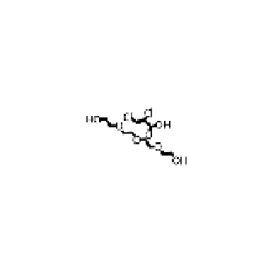 O=C(O)C(Cl)=CCl.OCCOCCOCCOCCO